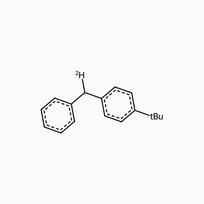 [2H][C](c1ccccc1)c1ccc(C(C)(C)C)cc1